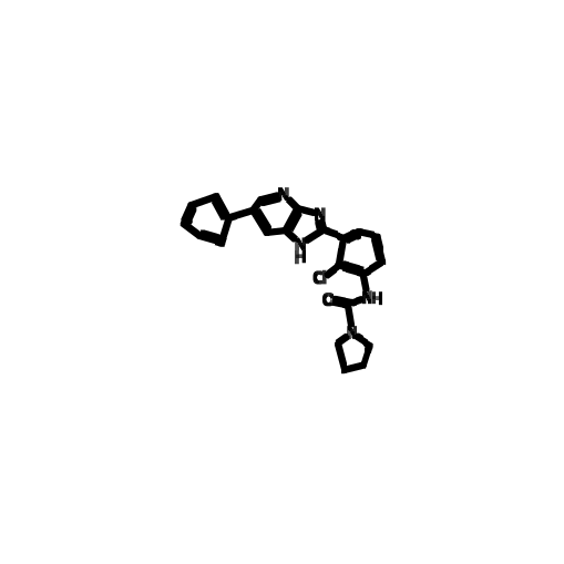 O=C(Nc1cccc(-c2nc3ncc(-c4ccccc4)cc3[nH]2)c1Cl)N1CCCC1